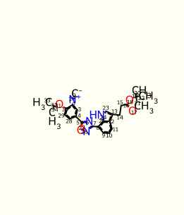 [C-]#[N+]c1cc(-c2nc(-c3cccc4c(CCC(=O)OC(C)(C)C)c[nH]c34)no2)ccc1OC(C)C